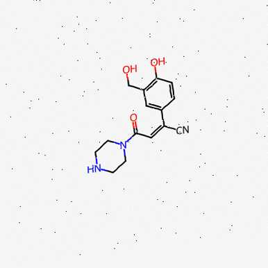 N#CC(=CC(=O)N1CCNCC1)c1ccc(O)c(CO)c1